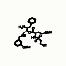 COc1cccc(CNC[C@@H](OC(=O)[C@H](CCSC)NS(=O)(=O)CCC(C)C)[C@@H](N)Cc2ccccc2)c1